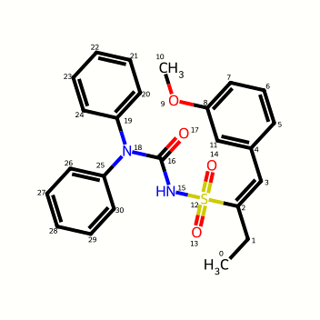 CCC(=Cc1cccc(OC)c1)S(=O)(=O)NC(=O)N(c1ccccc1)c1ccccc1